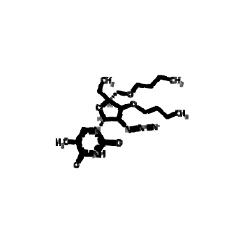 CCCCOC[C@@]1(CC)O[C@@H](n2cc(C)c(=O)[nH]c2=O)C(N=[N+]=[N-])C1OCCCC